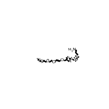 C[Si](C)(CCCN)O[Si](C)(C)CSc1ncc(COCCOCCOCCN=[N+]=[N-])cn1